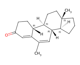 CC1=C[C@@H]2[C@H](CC[C@]3(C)CCC[C@@H]23)[C@H]2CCC(=O)C=C12